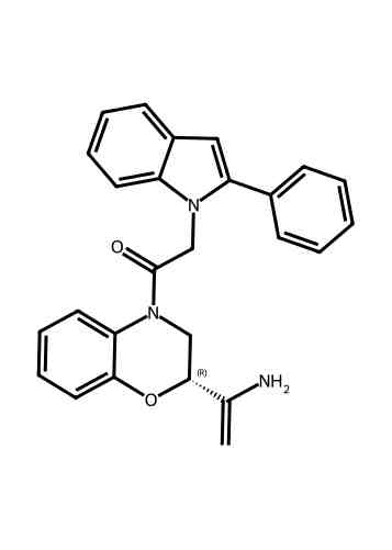 C=C(N)[C@H]1CN(C(=O)Cn2c(-c3ccccc3)cc3ccccc32)c2ccccc2O1